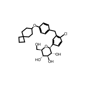 OC[C@H]1O[C@@H](c2ccc(Cl)c(Cc3ccc(OC4CCC5(CCC5)CC4)cc3)c2)[C@H](O)[C@@H](O)[C@@H]1O